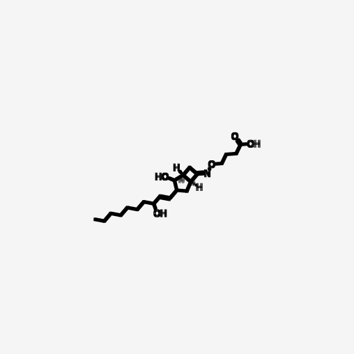 CCCCCCCC(O)C=CC1C[C@@H]2C(=NOCCCC(=O)O)C[C@H]2C1O